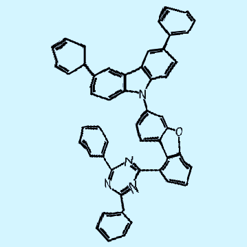 C1=CCC(c2ccc3c(c2)c2cc(-c4ccccc4)ccc2n3-c2ccc3c(c2)oc2cccc(-c4nc(-c5ccccc5)nc(-c5ccccc5)n4)c23)C=C1